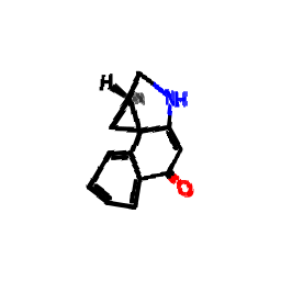 O=C1C=C2NC[C@H]3CC23c2ccccc21